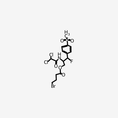 CS(=O)(=O)c1ccc(C(F)C(COC(=O)CCCBr)NC(=O)C(Cl)Cl)cc1